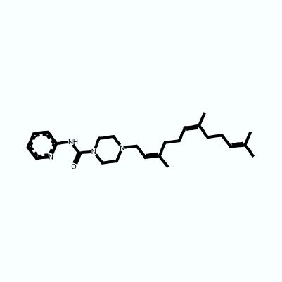 CC(C)=CCCC(C)=CCCC(C)=CCN1CCN(C(=O)Nc2ccccn2)CC1